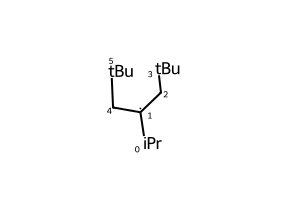 CC(C)[C](CC(C)(C)C)CC(C)(C)C